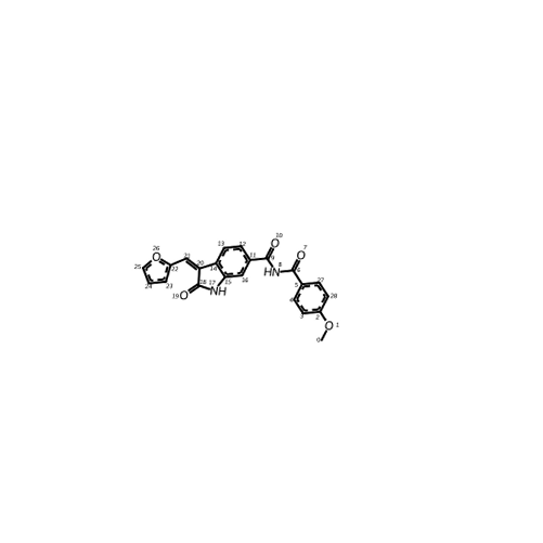 COc1ccc(C(=O)NC(=O)c2ccc3c(c2)NC(=O)C3=Cc2ccco2)cc1